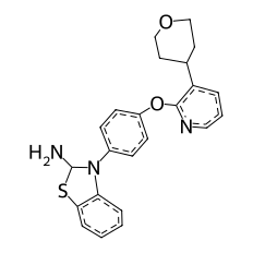 NC1Sc2ccccc2N1c1ccc(Oc2ncccc2C2CCOCC2)cc1